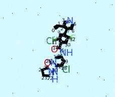 C#Cc1cnccc1-c1cc(Cl)c(C(=O)Nc2cnc(NN3CCCC3=O)c(Cl)c2)cc1F